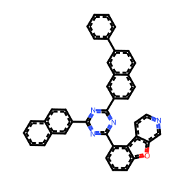 c1ccc(-c2ccc3ccc(-c4nc(-c5ccc6ccccc6c5)nc(-c5cccc6oc7cnccc7c56)n4)cc3c2)cc1